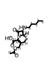 CCCCCN[C@@H]1C(=O)N2C(C(=O)O)=C(COC(C)=O)CS[C@H]12